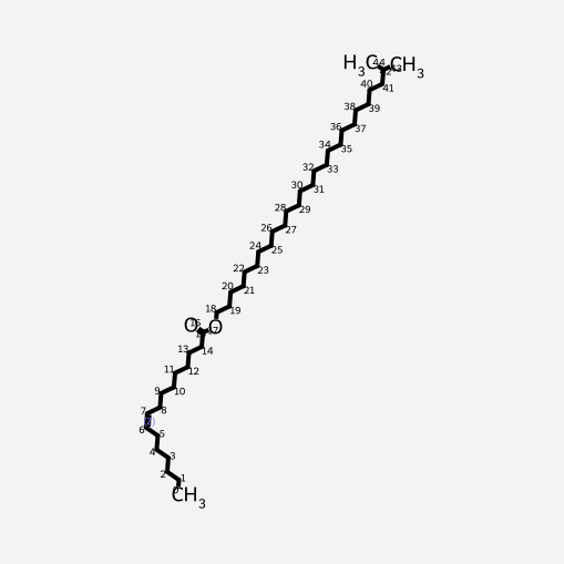 CCCCCC/C=C\CCCCCCCC(=O)OCCCCCCCCCCCCCCCCCCCCCCCCC(C)C